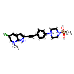 CN1CC(F)C=C2C=C(C#Cc3ccc(N4CCN(S(C)(=O)=O)CC4)cc3)NC21